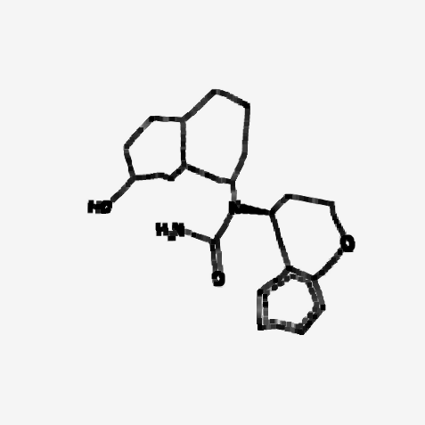 NC(=O)N(C1CCCC2CCC(O)CC21)[C@H]1CCOc2ccccc21